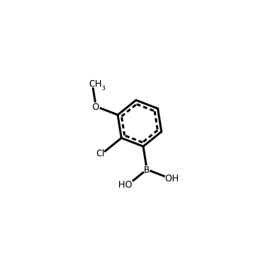 COc1cccc(B(O)O)c1Cl